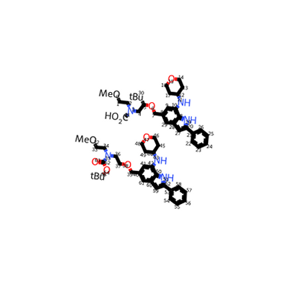 COCCN(CC(OCc1cc(NC2CCOCC2)c2[nH]c(-c3ccccc3)cc2c1)C(C)(C)C)C(=O)O.COCCN(CCOCc1cc(NC2CCOCC2)c2[nH]c(-c3ccccc3)cc2c1)C(=O)OC(C)(C)C